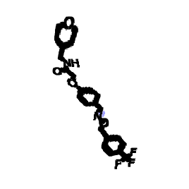 O=C(COc1ccc(/C=N/OCc2ccc(C(F)(F)F)cc2)cc1)NCC1CCOCC1